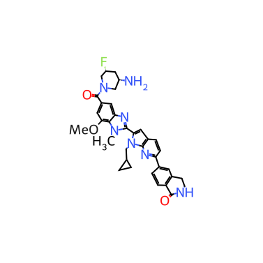 COc1cc(C(=O)N2C[C@H](N)C[C@@H](F)C2)cc2nc(-c3cc4ccc(-c5ccc6c(c5)CCNC6=O)nc4n3CC3CC3)n(C)c12